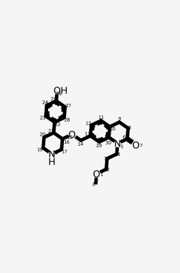 COCCCN1C(=O)CCc2ccc(COC3CNCCC3c3ccc(O)cc3)cc21